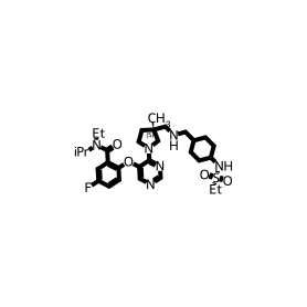 CCN(C(=O)c1cc(F)ccc1Oc1cncnc1N1CC[C@@](C)(CNCC2CCC(NS(=O)(=O)CC)CC2)C1)C(C)C